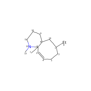 CCC1CCC=CC2(C)C(CCCN2C)C1